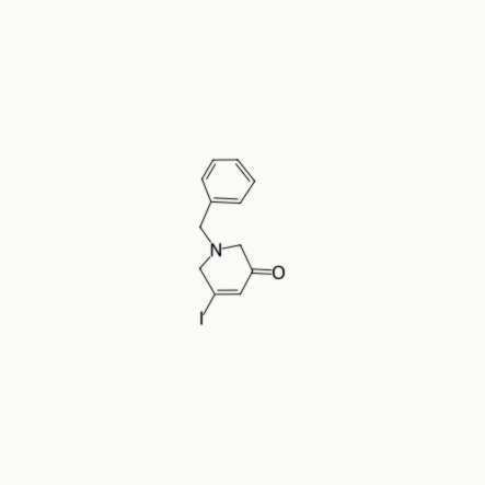 O=C1C=C(I)CN(Cc2ccccc2)C1